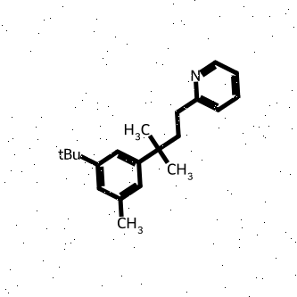 Cc1cc(C(C)(C)C)cc(C(C)(C)CCc2ccccn2)c1